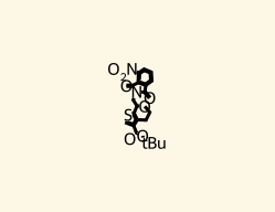 CC(C)(C)OC(=O)c1csc2c1CCOC2CN1C(=O)c2cccc([N+](=O)[O-])c2C1=O